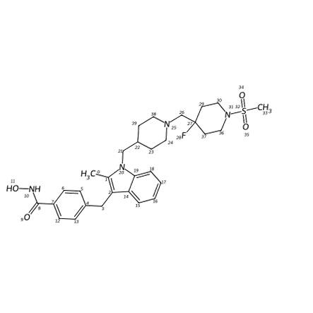 Cc1c(Cc2ccc(C(=O)NO)cc2)c2ccccc2n1CC1CCN(CC2(F)CCN(S(C)(=O)=O)CC2)CC1